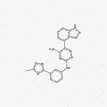 Cc1nc(-c2cccc(Nc3ncc(-c4cccc5[nH]ncc45)c(N)n3)c2)no1